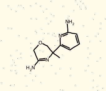 CC1(c2cccc(N)n2)COCC(N)=N1